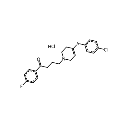 Cl.O=C(CCCN1CC=C(Sc2ccc(Cl)cc2)CC1)c1ccc(F)cc1